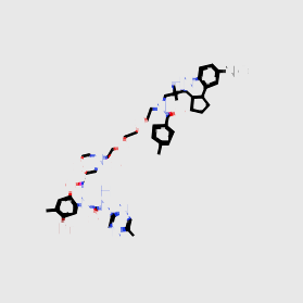 Cc1ccc(C(=O)N(CCOCCOCC(=O)N2CCO[C@H](COc3cc(C)c(Br)cc3NC(=O)Nc3cnc(C)cn3)C2)CC(C)(C)C2Nc3ccc([N+](=O)[O-])cc3C3CCCC32)cc1